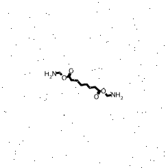 NCOC(=O)CCCCCCC(=O)OCN